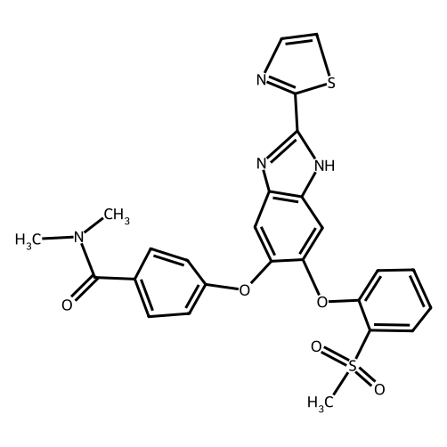 CN(C)C(=O)c1ccc(Oc2cc3nc(-c4nccs4)[nH]c3cc2Oc2ccccc2S(C)(=O)=O)cc1